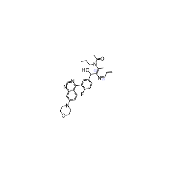 C=C/C=N\C(=C(/C)N(CCC)C(C)=O)C(O)c1ccc(F)c(-c2ncnc3cc(N4CCOCC4)ccc23)c1